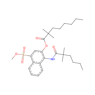 CCCCCCC(C)(C)C(=O)Oc1cc(S(=O)(=O)OC)c2ccccc2c1NC(=O)C(C)(C)CCCC